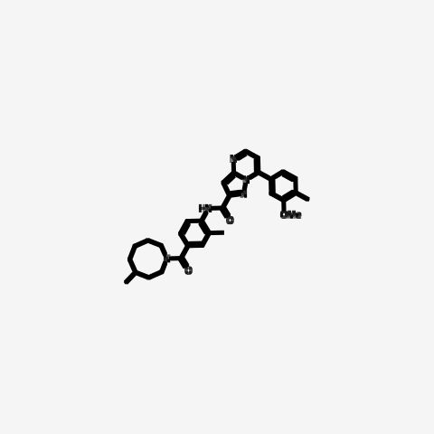 COc1cc(-c2ccnc3cc(C(=O)Nc4ccc(C(=O)N5CCCCC(C)CC5)cc4C)nn23)ccc1C